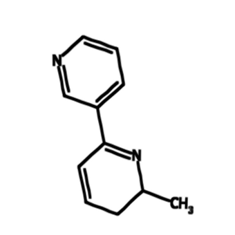 CC1CC=CC(c2cccnc2)=N1